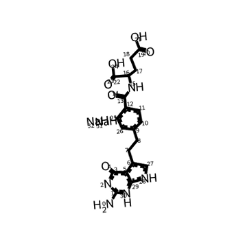 Nc1nc(=O)c2c(CCc3ccc(C(=O)NC(CCC(=O)O)C(=O)O)cc3)c[nH]c2[nH]1.[NaH].[NaH]